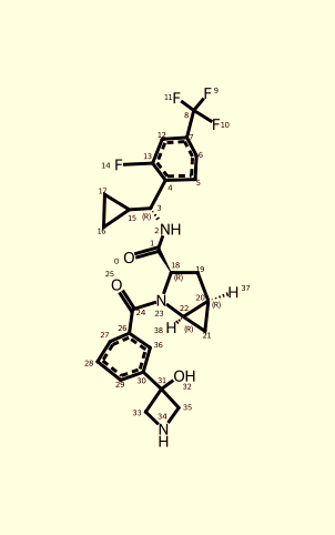 O=C(N[C@@H](c1ccc(C(F)(F)F)cc1F)C1CC1)[C@H]1C[C@H]2C[C@H]2N1C(=O)c1cccc(C2(O)CNC2)c1